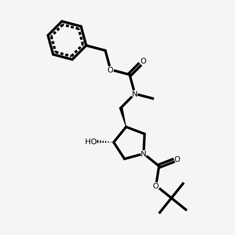 CN(C[C@H]1CN(C(=O)OC(C)(C)C)C[C@@H]1O)C(=O)OCc1ccccc1